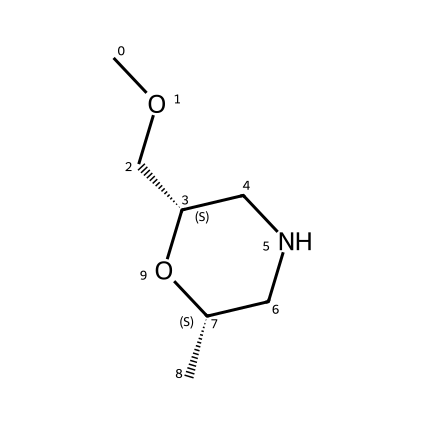 COC[C@@H]1CNC[C@H](C)O1